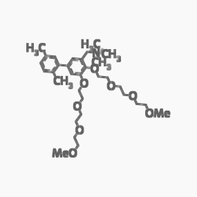 COCCOCCOCCOc1cc(-c2cc(C)ccc2C)cc(C[N+](C)(C)C)c1OCCOCCOCCOC